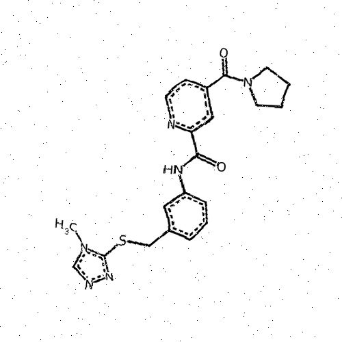 Cn1cnnc1SCc1cccc(NC(=O)c2cc(C(=O)N3CCCC3)ccn2)c1